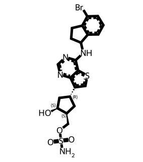 NS(=O)(=O)OC[C@@H]1C[C@@H](c2csc3c(NC4CCc5c(Br)cccc54)ncnc23)C[C@@H]1O